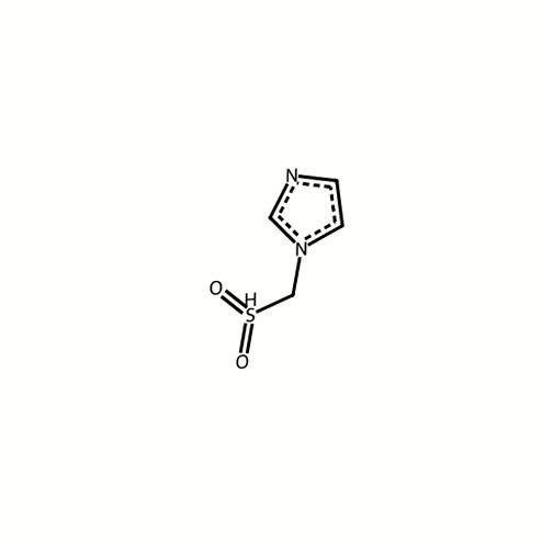 O=[SH](=O)Cn1ccnc1